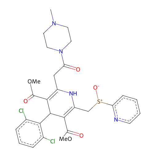 COC(=O)C1=C(CC(=O)N2CCN(C)CC2)NC(C[S+]([O-])c2ccccn2)=C(C(=O)OC)C1c1c(Cl)cccc1Cl